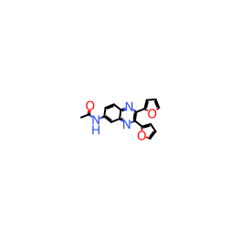 CC(=O)Nc1ccc2nc(-c3ccco3)c(-c3ccco3)nc2c1